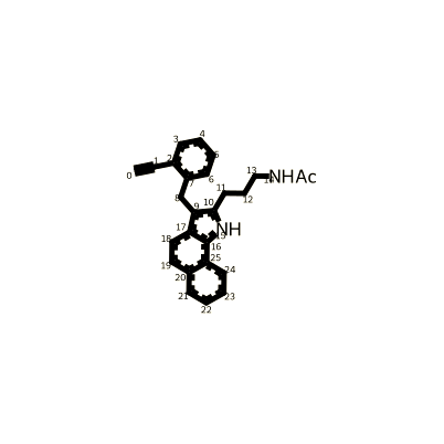 C#Cc1ccccc1Cc1c(CCCNC(C)=O)[nH]c2c1ccc1ccccc12